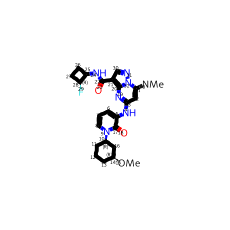 CNc1cc(Nc2cccn([C@@H]3CCC[C@@H](OC)C3)c2=O)nc2c(C(=O)NC3CC[C@H]3F)cnn12